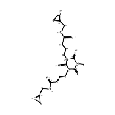 Cn1c(=O)n(CCCC(=O)OCC2CO2)c(=O)n(CCCC(=O)OCC2CO2)c1=O